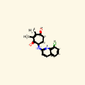 CC1=C(C)C(=O)C(Nc2ccc3cccc(Cl)c3n2)CCC1=O